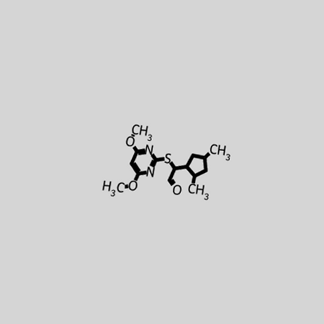 COc1cc(OC)nc(SC(C=O)C2CC(C)CC2C)n1